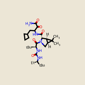 CC[C@@H](NC(=O)N[C@H](C(=O)N1C[C@H]2[C@@H]([C@H]1C(=O)NC(CC1CCC1)C(=O)C(N)=O)C2(C)C)C(C)(C)C)C(C)(C)C